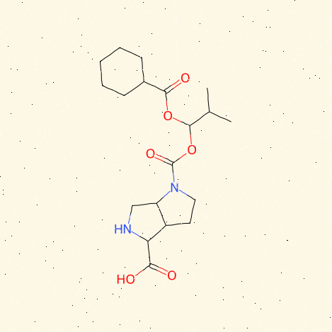 CC(C)C(OC(=O)C1CCCCC1)OC(=O)N1CCC2C(C(=O)O)NCC21